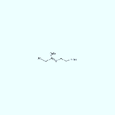 CCCCCCCC/N=C(/CC(C)=O)OC